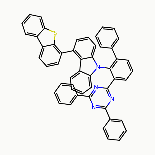 c1ccc(-c2nc(-c3ccccc3)nc(-c3cccc(-c4ccccc4)c3-n3c4ccccc4c4c(-c5cccc6c5sc5ccccc56)cccc43)n2)cc1